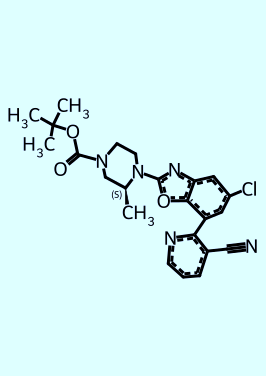 C[C@H]1CN(C(=O)OC(C)(C)C)CCN1c1nc2cc(Cl)cc(-c3ncccc3C#N)c2o1